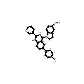 COc1ccc2c(c1)CCN2c1nc(-c2cccnc2)nc2ccc(-c3ccc(F)cc3)cc12